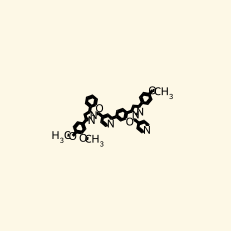 COc1ccc(C2=NN3C(C2)c2ccc(-c4cc(C5Oc6ccccc6C6CC(c7ccc(OC)c(OC)c7)=NN65)ccn4)cc2OC3c2ccncc2)cc1